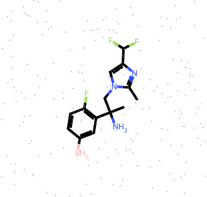 Bc1ccc(F)c(C(C)(N)Cn2cc(C(F)F)nc2C)c1